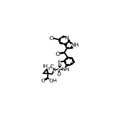 CN(CC1(C(=O)O)CC1)S(=O)(=O)Nc1cccc(C(=O)c2c[nH]c3ncc(Cl)cc23)c1F